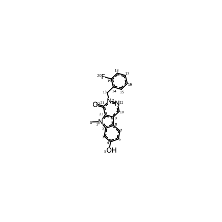 Cn1c2cc(O)ccc2c2cnn(Cc3ccccc3F)c(=O)c21